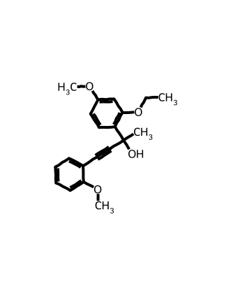 CCOc1cc(OC)ccc1C(C)(O)C#Cc1ccccc1OC